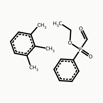 CCOP(=O)(C=O)c1ccccc1.Cc1cccc(C)c1C